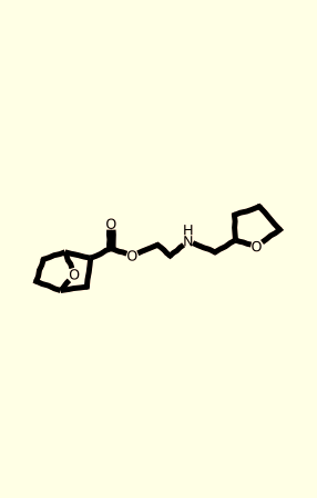 O=C(OCCNCC1CCCO1)C1CC2CCC1O2